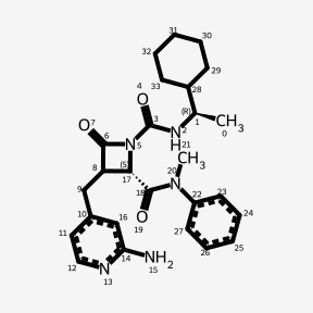 C[C@@H](NC(=O)N1C(=O)C(Cc2ccnc(N)c2)[C@H]1C(=O)N(C)c1ccccc1)C1CCCCC1